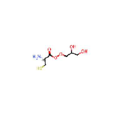 N[C@@H](CS)C(=O)OOCC(O)CO